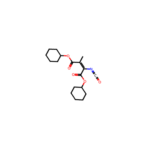 C/C(C(=O)OC1CCCCC1)=C(\N=C=O)C(=O)OC1CCCCC1